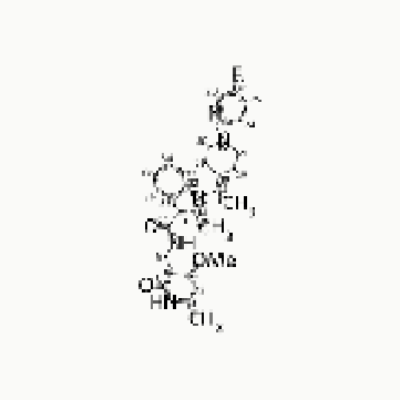 COc1cc(C)[nH]c(=O)c1CNC(=O)c1c(C)n([C@H](C)C2CCN(c3ccc(F)cn3)CC2)c2ccccc12